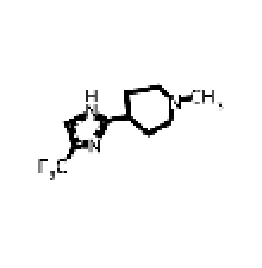 CN1CCC(c2nc(C(F)(F)F)c[nH]2)CC1